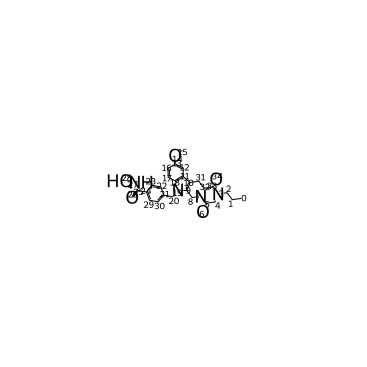 CCCN1CC(=O)N2Cc3c(c4cc(OC)ccc4n3Cc3ccc(C(=O)NO)cc3)CC2C1=O